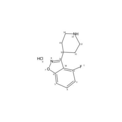 Cl.Fc1cccc2onc(C3CCNCC3)c12